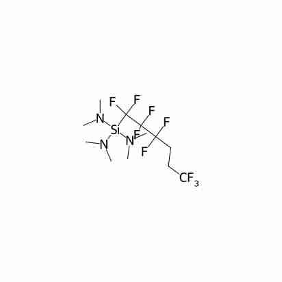 CN(C)[Si](N(C)C)(N(C)C)C(F)(F)C(F)(F)C(F)(F)CCC(F)(F)F